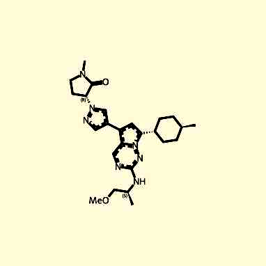 COC[C@H](C)Nc1ncc2c(-c3cnn([C@@H]4CCN(C)C4=O)c3)cc([C@H]3CC[C@H](C)CC3)n2n1